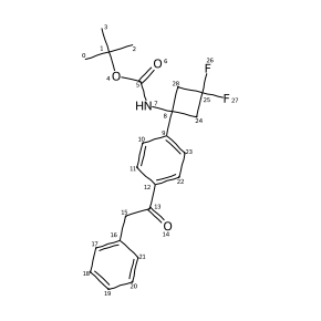 CC(C)(C)OC(=O)NC1(c2ccc(C(=O)Cc3ccccc3)cc2)CC(F)(F)C1